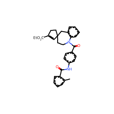 CCOC(=O)C1=CC2(CC1)CCN(C(=O)c1ccc(NC(=O)c3ccccc3C)cc1)c1ccccc1C2